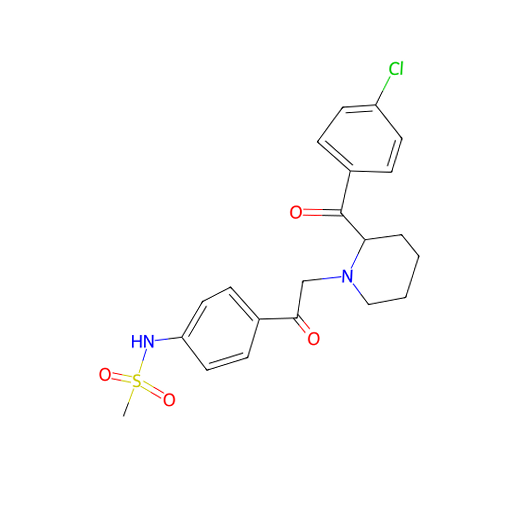 CS(=O)(=O)Nc1ccc(C(=O)CN2CCCCC2C(=O)c2ccc(Cl)cc2)cc1